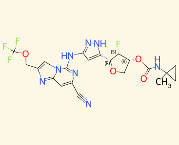 CC1(NC(=O)O[C@@H]2CO[C@H](c3cc(Nc4nc(C#N)cc5nc(COC(F)(F)F)cn45)n[nH]3)[C@@H]2F)CC1